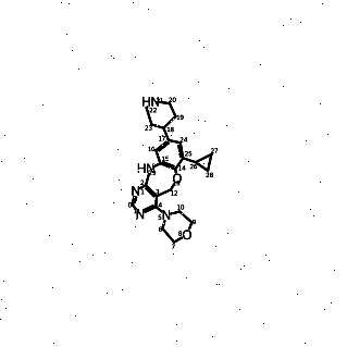 c1nc2c(c(N3CCOCC3)n1)COc1c(cc(C3CCNCC3)cc1C1CC1)N2